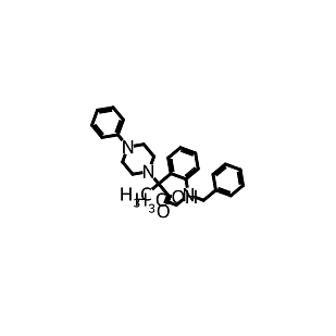 CCN(Cc1ccccc1)c1ccccc1C(C)(C(=O)O)N1CCN(c2ccccc2)CC1